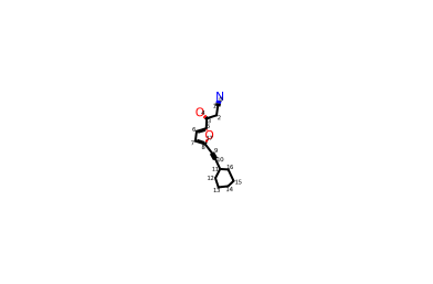 N#CCC(=O)c1ccc(C#CC2CCCCC2)o1